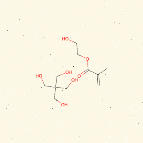 C=C(C)C(=O)OCCO.OCC(CO)(CO)CO